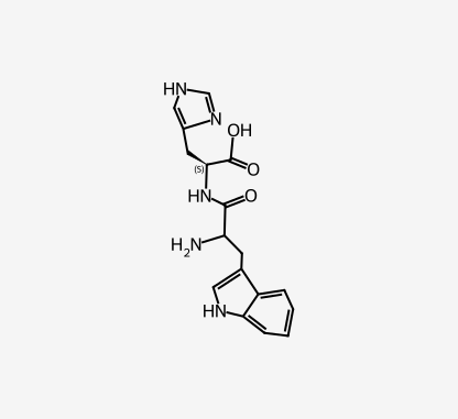 NC(Cc1c[nH]c2ccccc12)C(=O)N[C@@H](Cc1c[nH]cn1)C(=O)O